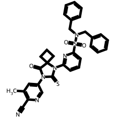 Cc1cc(N2C(=O)C3(CCC3)N(c3cccc(S(=O)(=O)N(Cc4ccccc4)Cc4ccccc4)n3)C2=S)cnc1C#N